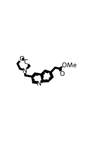 COC(=O)Cc1ccc2ncc(CN3CCOCC3)cc2c1